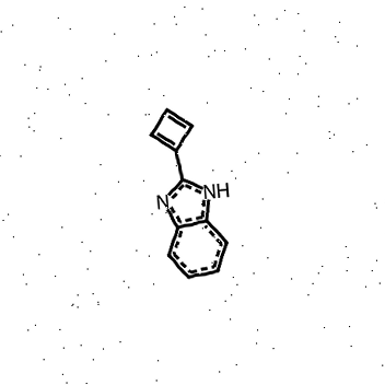 C1=CC(c2nc3ccccc3[nH]2)=C1